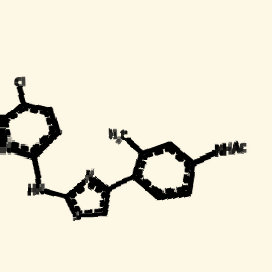 CC(=O)Nc1ccc(-c2csc(Nc3ccc(Cl)cn3)n2)c(C)c1